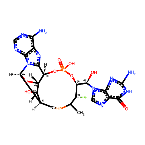 CC1PC[C@@H]2[C@H](O)[C@@H]3O[C@H]2n2c(nc4c(N)ncnc42)[C@H]3OP(=O)(O)O[C@@H]([C@@H](O)n2cnc3c(=O)[nH]c(N)nc32)[C@@H]1F